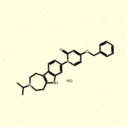 CC(C)N1CCc2[nH]c3cc(-n4ccc(OCc5ccccc5)cc4=O)ccc3c2CC1.Cl